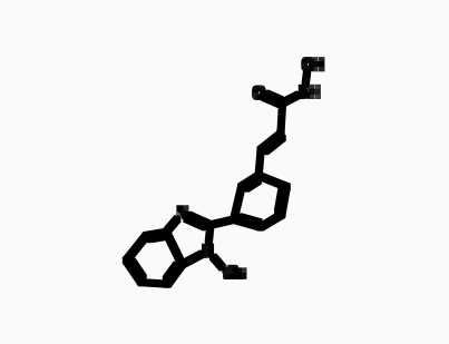 CC(C)(C)n1c(-c2cccc(/C=C/C(=O)NO)c2)nc2ccccc21